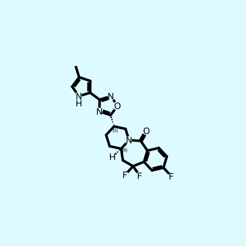 Cc1c[nH]c(-c2noc([C@H]3CC[C@@H]4CC(F)(F)c5cc(F)ccc5C(=O)N4C3)n2)c1